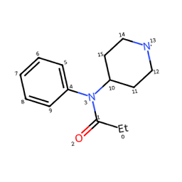 CCC(=O)N(c1ccccc1)C1CC[N]CC1